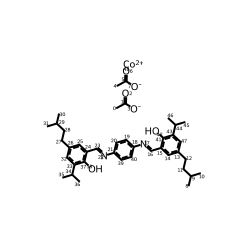 CC(=O)[O-].CC(=O)[O-].CC(C)CCc1cc(C=Nc2ccc(N=Cc3cc(CCC(C)C)cc(C(C)C)c3O)cc2)c(O)c(C(C)C)c1.[Co+2]